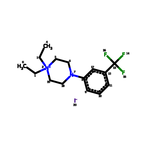 CC[N+]1(CC)CCN(c2cccc(C(F)(F)F)c2)CC1.[I-]